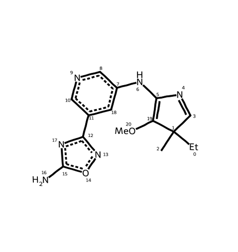 CCC1(C)C=NC(Nc2cncc(-c3noc(N)n3)c2)=C1OC